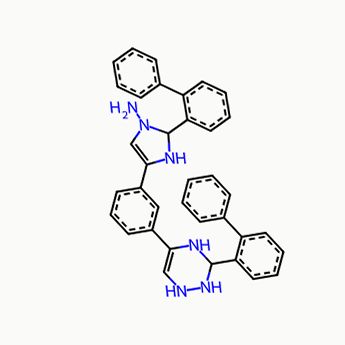 NN1C=C(c2cccc(C3=CNNC(c4ccccc4-c4ccccc4)N3)c2)NC1c1ccccc1-c1ccccc1